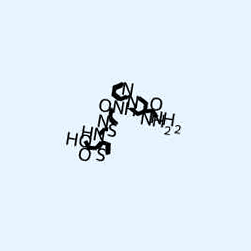 NC(=O)C1(N)CCN(c2ncccc2NC(=O)c2csc(Nc3ccsc3C(=O)O)n2)CC1